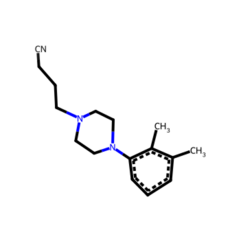 Cc1cccc(N2CCN(CCCC#N)CC2)c1C